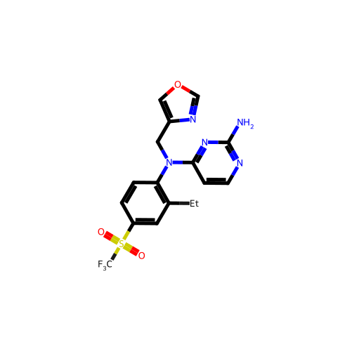 CCc1cc(S(=O)(=O)C(F)(F)F)ccc1N(Cc1cocn1)c1ccnc(N)n1